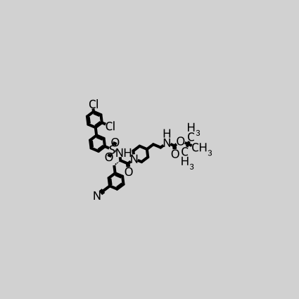 CC(C)(C)OC(=O)NCCC1CCN(C(=O)[C@H](Cc2cccc(C#N)c2)NS(=O)(=O)c2cccc(-c3ccc(Cl)cc3Cl)c2)CC1